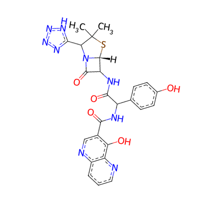 CC1(C)S[C@@H]2C(NC(=O)C(NC(=O)c3cnc4cccnc4c3O)c3ccc(O)cc3)C(=O)N2C1c1nnn[nH]1